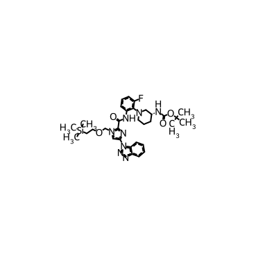 CC(C)(C)OC(=O)N[C@@H]1CCCN(c2c(F)cccc2NC(=O)c2nc(-n3nnc4ccccc43)cn2COCC[Si](C)(C)C)C1